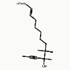 CC#CC(C)(O)C(C)(C)CCCCCC=CCCCCC